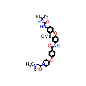 CCC(CC)NC(=O)Nc1ccc(Oc2ccc(NC(=O)c3ccc(OC4CCN(C(=O)CN(C)C)CC4)cc3)cc2)c(OC)c1